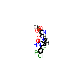 CCS(=O)(=O)c1cncc(C(=O)N2[C@@H](C(=O)N[C@@H](c3cc(F)c(Cl)cc3F)C3CC3)C[C@H]3C[C@H]32)c1